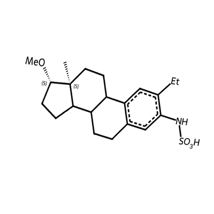 CCc1cc2c(cc1NS(=O)(=O)O)CCC1C2CC[C@@]2(C)C1CC[C@@H]2OC